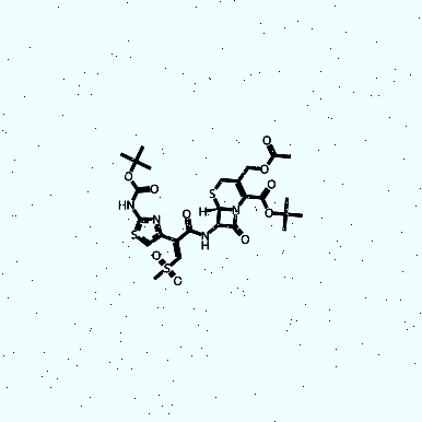 CC(=O)OCC1=C(C(=O)OC(C)(C)C)N2C(=O)C(NC(=O)C(=CS(C)(=O)=O)c3csc(NC(=O)OC(C)(C)C)n3)[C@@H]2SC1